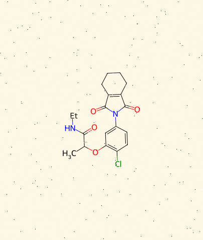 CCNC(=O)C(C)Oc1cc(N2C(=O)C3=C(CCCC3)C2=O)ccc1Cl